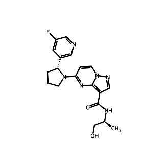 C[C@@H](CO)NC(=O)c1cnn2ccc(N3CCC[C@@H]3c3cncc(F)c3)nc12